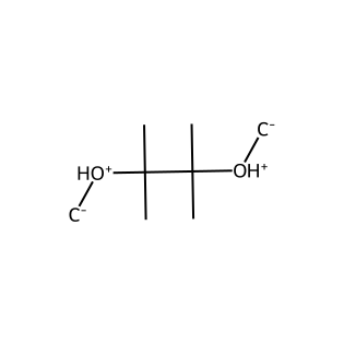 [CH2-][OH+]C(C)(C)C(C)(C)[OH+][CH2-]